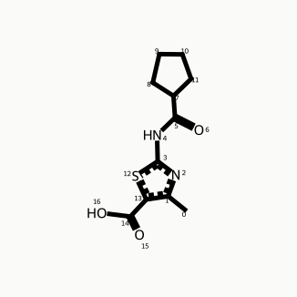 Cc1nc(NC(=O)C2CCCC2)sc1C(=O)O